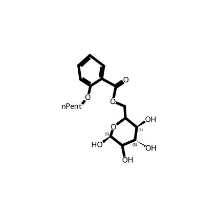 CCCCCOc1ccccc1C(=O)OCC1O[C@H](O)C(O)[C@@H](O)[C@@H]1O